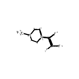 FC(F)=C(F)N1CCN(C(F)(F)F)CC1